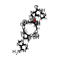 Nc1ncnc2c1ncn2[C@@H]1O[C@@H]2COP(=O)(O)O[C@@H]3[C@H](O)[C@@H](COP(=O)(O)O[C@H]2[C@H]1F)O[C@H]3n1cnc2c(=O)[nH]c3nccn3c21